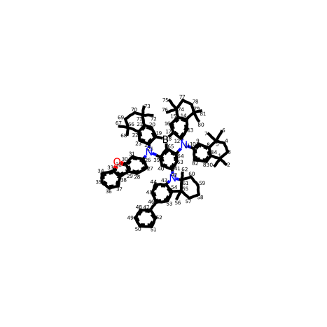 CC1(C)CCC(C)(C)c2cc(N3c4cc5c(cc4B4c6cc7c(cc6N(c6ccc8c(c6)oc6ccccc68)c6cc(N8c9ccc(-c%10ccccc%10)cc9C9(C)CCCCC89C)cc3c64)C(C)(C)CCC7(C)C)C(C)(C)CCC5(C)C)ccc21